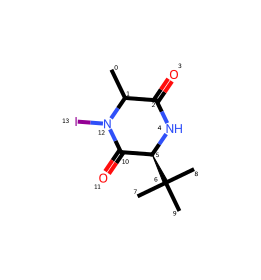 CC1C(=O)N[C@@H](C(C)(C)C)C(=O)N1I